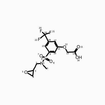 CN(CC1CO1)S(=O)(=O)c1cc(OCC(=O)O)cc(C(F)(F)F)c1